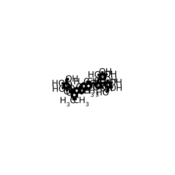 CC1(C)CCC2(C(=O)OC3OC(CO)C(O)C(O)C3O)CCC3(C)C(=CCC4C5(C)CCC(OC6OCC(O)C(OC7OC(CO)C(O)C(O)C7O)C6OC6OCC(O)C(O)C6O)C(C)(C)C5CCC43C)C2C1